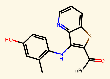 CCCC(=O)c1sc2cccnc2c1Nc1ccc(O)cc1C